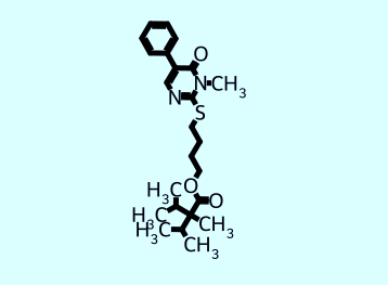 CC(C)C(C)(C(=O)OCCCCSc1ncc(-c2ccccc2)c(=O)n1C)C(C)C